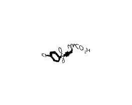 O=C(O)NCC#CS(=O)(=O)c1ccc(Cl)cc1